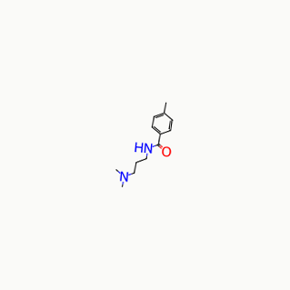 Cc1ccc(C(=O)NCCCN(C)C)cc1